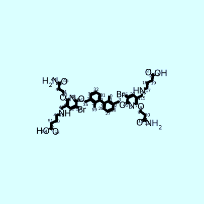 Cc1c(COc2nc(OCCC(N)=O)c(CNCCCC(=O)O)cc2Br)cccc1-c1cccc(COc2nc(OCCC(N)=O)c(CNCCCC(=O)O)cc2Br)c1C